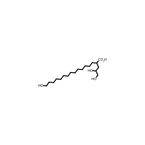 O=C(O)C(CCCCCCCCCCCCCCO)CC(O)CO